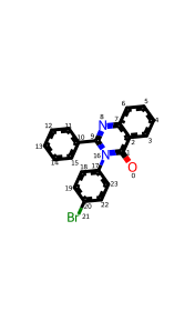 O=c1c2ccccc2nc(-c2ccccc2)n1-c1ccc(Br)cc1